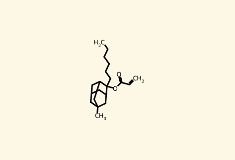 C=CC(=O)OC1(CCCCCC)C2CC3CC1CC(C)(C3)C2